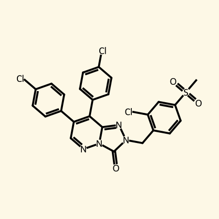 CS(=O)(=O)c1ccc(Cn2nc3c(-c4ccc(Cl)cc4)c(-c4ccc(Cl)cc4)cnn3c2=O)c(Cl)c1